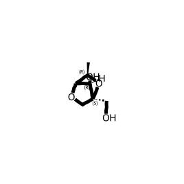 C[C@H]1O[C@@]2(CO)COC1[C@H]2O